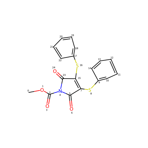 COC(=O)N1C(=O)C(Sc2ccccc2)=C(Sc2ccccc2)C1=O